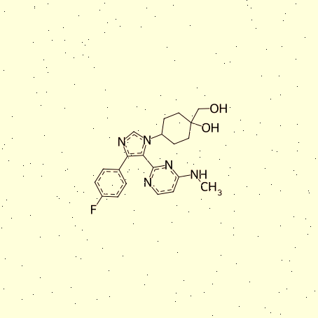 CNc1ccnc(-c2c(-c3ccc(F)cc3)ncn2C2CCC(O)(CO)CC2)n1